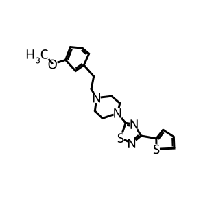 COc1cccc(CCN2CCN(c3nc(-c4cccs4)ns3)CC2)c1